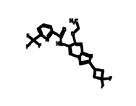 CCOc1cc2nc(C3CC(F)(F)C3)cn2cc1NC(=O)c1cccc(C(F)(F)F)n1